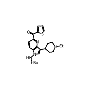 CCCCNn1cc(C2CCN(CC)CC2)c2nc(C(=O)c3cccs3)ccc21